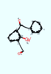 O=Cc1cccc(C(=O)c2ccccc2)c1O